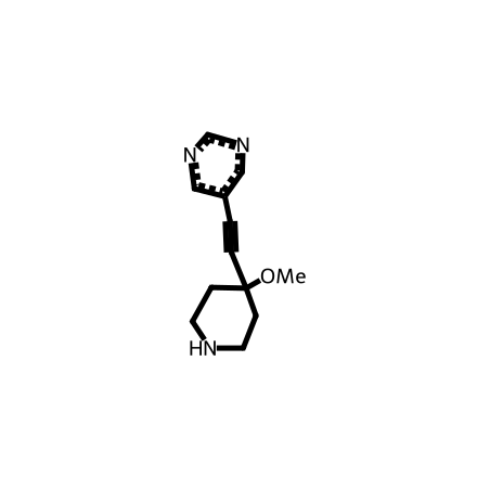 COC1(C#Cc2cncnc2)CCNCC1